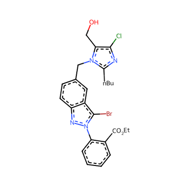 CCCCc1nc(Cl)c(CO)n1Cc1ccc2nn(-c3ccccc3C(=O)OCC)c(Br)c2c1